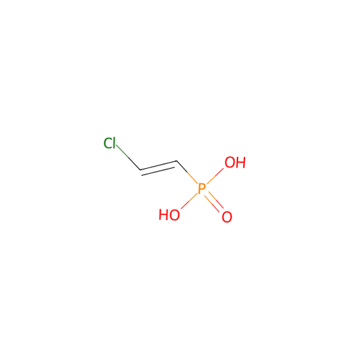 O=P(O)(O)C=CCl